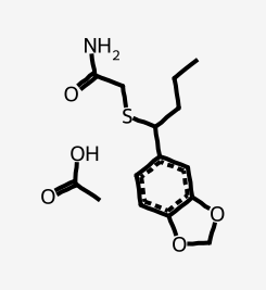 CC(=O)O.CCCC(SCC(N)=O)c1ccc2c(c1)OCO2